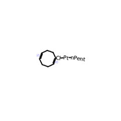 C1=C\CC/C=C\CC/1.CCCC[CH2][Pt][Cl]